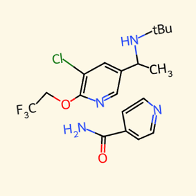 CC(NC(C)(C)C)c1cnc(OCC(F)(F)F)c(Cl)c1.NC(=O)c1ccncc1